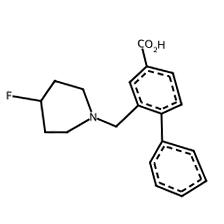 O=C(O)c1ccc(-c2ccccc2)c(CN2CCC(F)CC2)c1